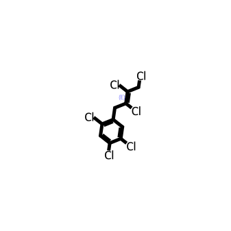 ClC/C(Cl)=C(\Cl)Cc1cc(Cl)c(Cl)cc1Cl